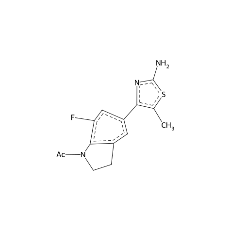 CC(=O)N1CCc2cc(-c3nc(N)sc3C)cc(F)c21